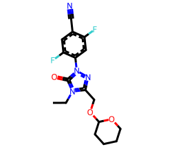 CCn1c(COC2CCCCO2)nn(-c2cc(F)c(C#N)cc2F)c1=O